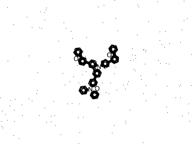 c1ccc(N2c3ccccc3Oc3cc(-c4ccc5c(c4)c4cc(-c6ccc7oc8ccccc8c7c6)ccc4n5-c4ccc(-c5cccc6c5oc5ccccc56)cc4)ccc32)cc1